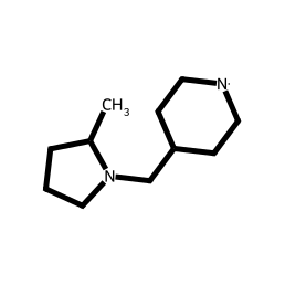 CC1CCCN1CC1CC[N]CC1